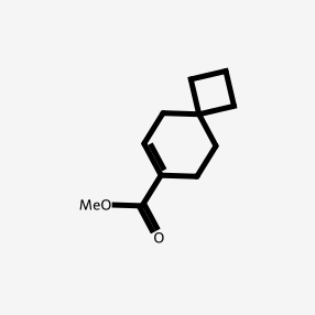 COC(=O)C1=CCC2(CCC2)CC1